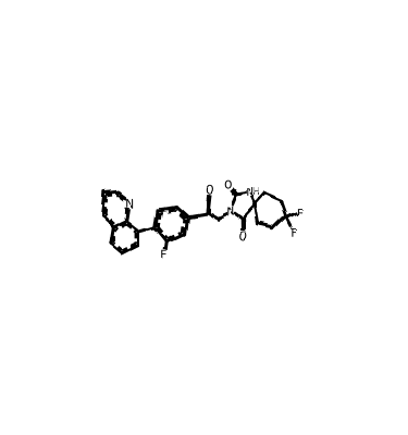 O=C(CN1C(=O)NC2(CCC(F)(F)CC2)C1=O)c1ccc(-c2cccc3cccnc23)c(F)c1